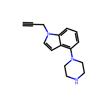 C#CCn1ccc2c(N3CCNCC3)cccc21